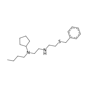 CCCCN(CCNCCSCc1ccccc1)C1CCCC1